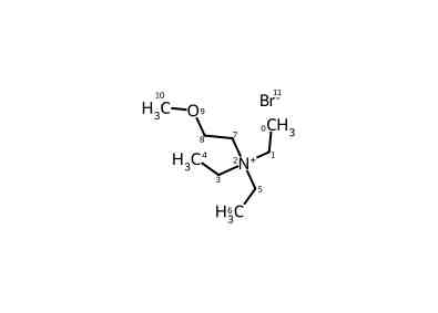 CC[N+](CC)(CC)CCOC.[Br-]